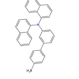 Bc1ccc(-c2cccc(N(c3cccc4ccccc34)c3cccc4ccccc34)c2)cc1